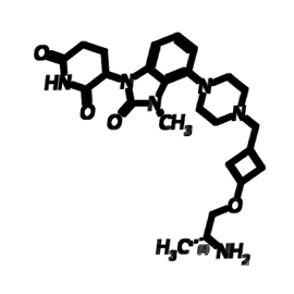 C[C@@H](N)COC1CC(CN2CCN(c3cccc4c3n(C)c(=O)n4C3CCC(=O)NC3=O)CC2)C1